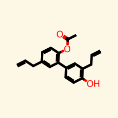 C=CCc1ccc(OC(C)=O)c(-c2ccc(O)c(CC=C)c2)c1